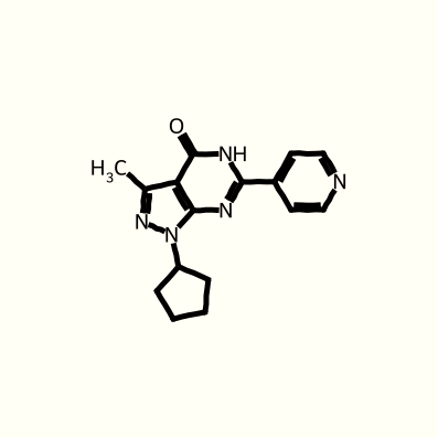 Cc1nn(C2CCCC2)c2nc(-c3ccncc3)[nH]c(=O)c12